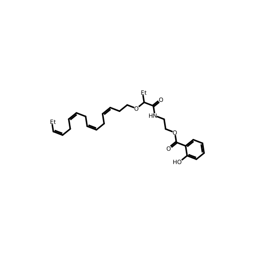 CC/C=C\C/C=C\C/C=C\C/C=C\CCOC(CC)C(=O)NCCOC(=O)c1ccccc1O